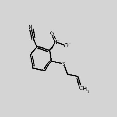 C=CCSc1cccc(C#N)c1[N+](=O)[O-]